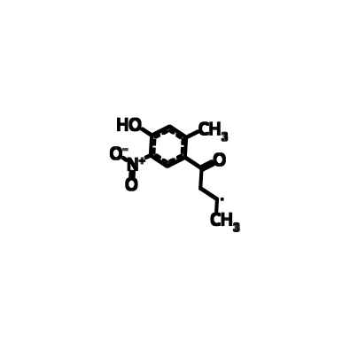 C[CH]CC(=O)c1cc([N+](=O)[O-])c(O)cc1C